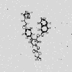 CC(C)(C)OC(=O)ON1CCC(c2ccc(OCCn3cncn3)cc2)C(OCc2ccc3ccccc3c2)C1